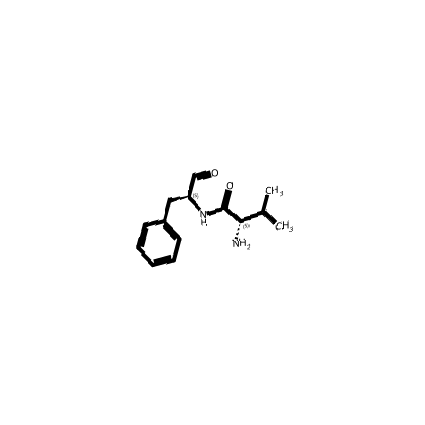 CC(C)[C@H](N)C(=O)N[C@H](C=O)Cc1ccccc1